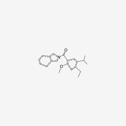 CCc1cc(OC)c(C(=O)n2cc3ccccc3c2)cc1C(C)C